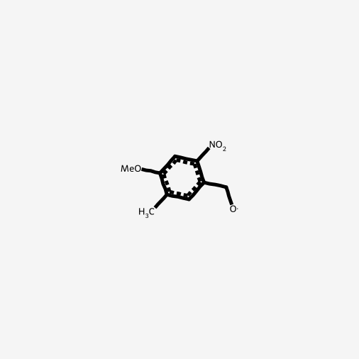 COc1cc([N+](=O)[O-])c(C[O])cc1C